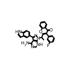 CC(c1oc2ccccc2c(=O)c1-c1cccc(F)c1)n1nc(-c2ccc3[nH]ccc3c2)c2c1NCN=C2N